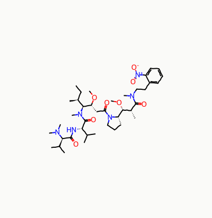 CC[C@H](C)[C@@H]([C@@H](CC(=O)N1CCC[C@H]1[C@H](OC)[C@@H](C)C(=O)N(C)CCc1ccccc1[N+](=O)[O-])OC)N(C)C(=O)[C@@H](NC(=O)[C@@H](C(C)C)N(C)C)C(C)C